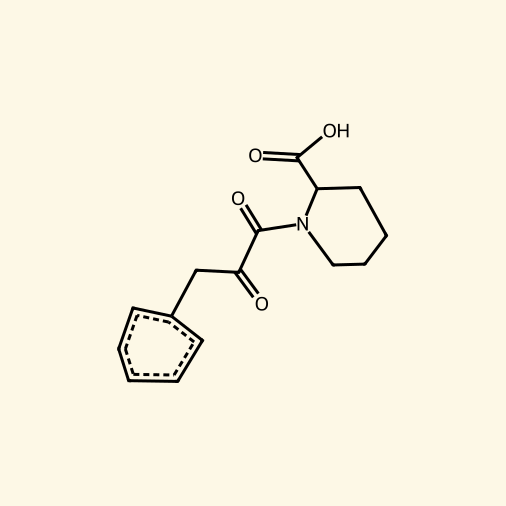 O=C(Cc1ccccc1)C(=O)N1CCCCC1C(=O)O